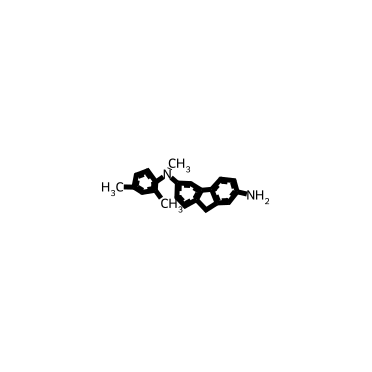 Cc1ccc(N(C)c2ccc3c(c2)-c2ccc(N)cc2C3)c(C)c1